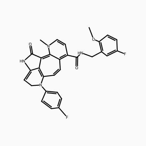 COc1ccc(F)cc1CNC(=O)C1=c2ccc3c4c([nH]c(=O)c-4c2N(C)C=C1)=CCN3c1ccc(F)cc1